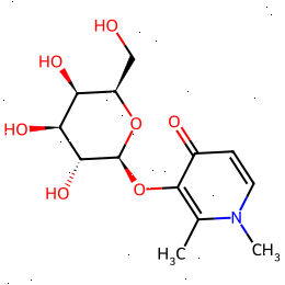 Cc1c(O[C@@H]2O[C@H](CO)[C@H](O)[C@H](O)[C@H]2O)c(=O)ccn1C